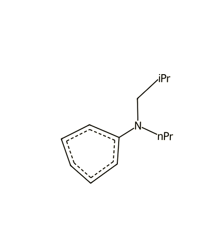 CCCN(CC(C)C)c1ccccc1